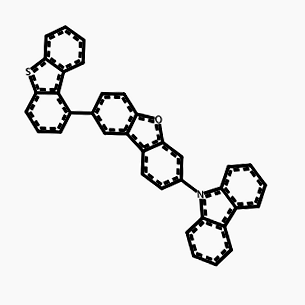 c1ccc2c(c1)sc1cccc(-c3ccc4oc5cc(-n6c7ccccc7c7ccccc76)ccc5c4c3)c12